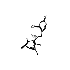 Cc1cc(C)c(F)c(NCc2cnc(Cl)cc2Cl)c1F